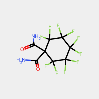 NC(=O)C1(C(N)=O)C(F)(F)C(F)(F)C(F)(F)C(F)(F)C1(F)F